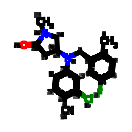 Cc1ccc(F)cc1CN(c1ccc(C#N)c(Cl)c1)[C@H]1CC(=O)N(C)C1